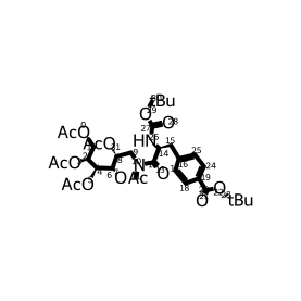 CC(=O)OC[C@H](OC(C)=O)[C@H](OC(C)=O)[C@@H](OC(C)=O)[C@@H](CN(C)C(=O)[C@H](Cc1ccc(C(=O)OC(C)(C)C)cc1)NC(=O)OC(C)(C)C)OC(C)=O